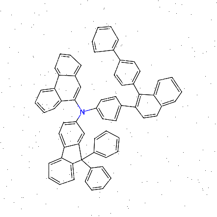 c1ccc(-c2ccc(-c3c(-c4ccc(N(c5ccc6c(c5)C(c5ccccc5)(c5ccccc5)c5ccccc5-6)c5cc6ccccc6c6ccccc56)cc4)ccc4ccccc34)cc2)cc1